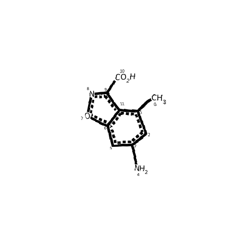 Cc1cc(N)cc2onc(C(=O)O)c12